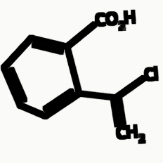 C=C(Cl)c1ccccc1C(=O)O